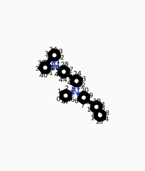 c1ccc(N(c2ccc(-c3ccc4ccccc4c3)cc2)c2cccc(-c3ccc(-n4c5ccccc5c5ccccc54)cc3)c2)cc1